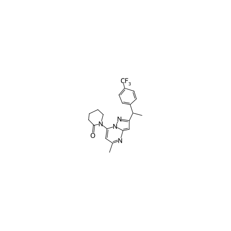 Cc1cc(N2CCCCC2=O)n2nc(C(C)c3ccc(C(F)(F)F)cc3)cc2n1